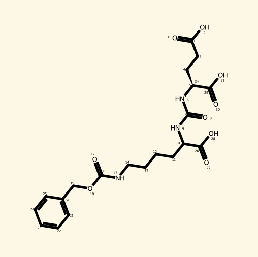 O=C(O)CC[C@H](NC(=O)NC(CCCCNC(=O)OCc1ccccc1)C(=O)O)C(=O)O